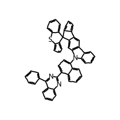 c1ccc(-c2nc(-c3ccc(-n4c5ccccc5c5cc6c(cc54)C4(c5ccccc5Sc5ccccc54)c4ccccc4-6)c4ccccc34)nc3ccccc23)cc1